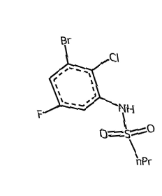 CCCS(=O)(=O)Nc1cc(F)cc(Br)c1Cl